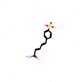 CS(=O)(=O)c1ccc(/C=C/C=C/C(N)=O)cc1